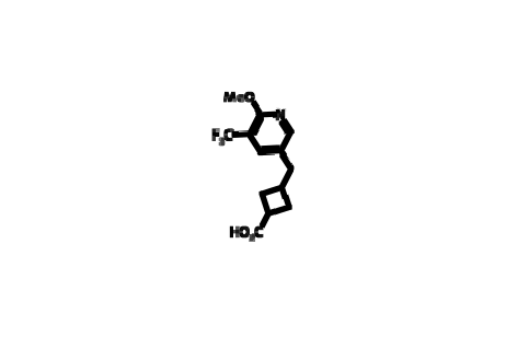 COc1ncc(CC2CC(C(=O)O)C2)cc1C(F)(F)F